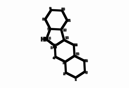 C1CCC2CN3NC4CCCCC4C3CC2C1